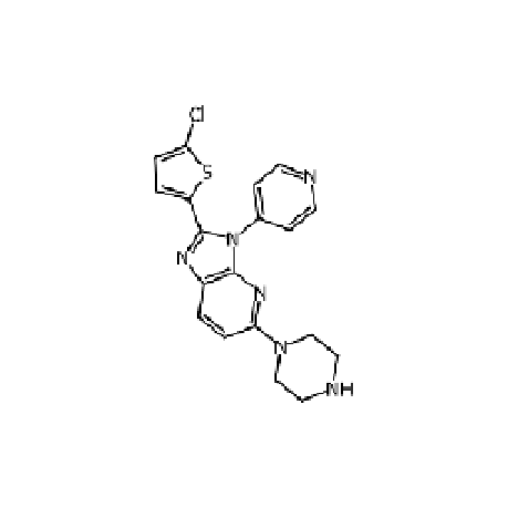 Clc1ccc(-c2nc3ccc(N4CCNCC4)nc3n2-c2ccncc2)s1